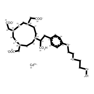 CCOCCOCCOc1ccc(CC(C(=O)O)N2CCN(CC(=O)[O-])CCN(CC(=O)[O-])CCN(CC(=O)[O-])CC2)cc1.[Gd+3]